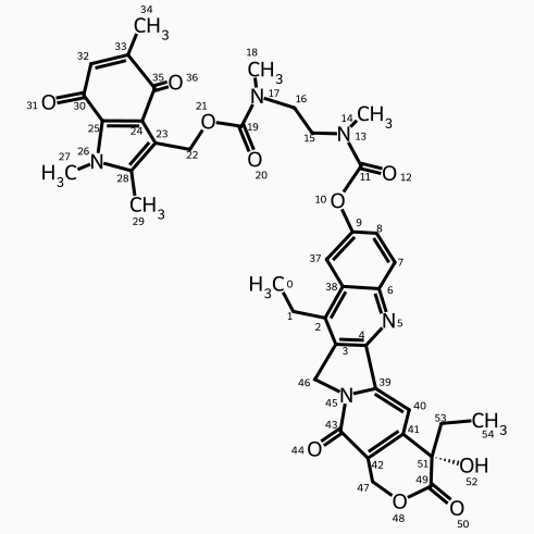 CCc1c2c(nc3ccc(OC(=O)N(C)CCN(C)C(=O)OCc4c5c(n(C)c4C)C(=O)C=C(C)C5=O)cc13)-c1cc3c(c(=O)n1C2)COC(=O)[C@]3(O)CC